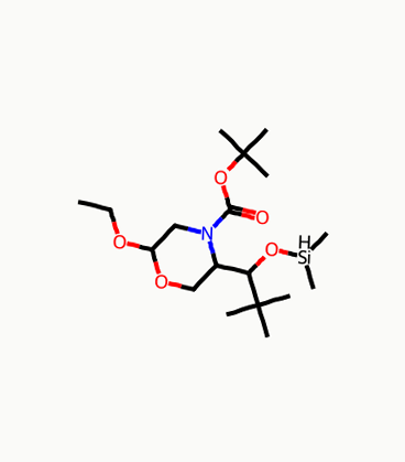 CCOC1CN(C(=O)OC(C)(C)C)C(C(O[SiH](C)C)C(C)(C)C)CO1